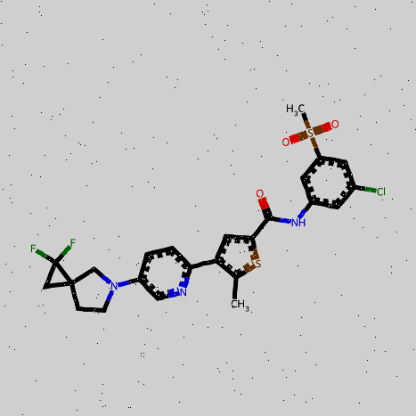 Cc1sc(C(=O)Nc2cc(Cl)cc(S(C)(=O)=O)c2)cc1-c1ccc(N2CCC3(C2)CC3(F)F)cn1